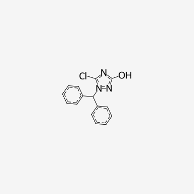 Oc1nc(Cl)n(C(c2ccccc2)c2ccccc2)n1